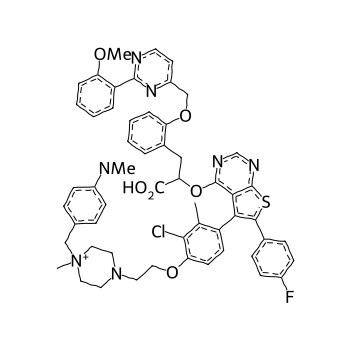 CNc1ccc(C[N+]2(C)CCN(CCOc3ccc(-c4c(-c5ccc(F)cc5)sc5ncnc(OC(Cc6ccccc6OCc6ccnc(-c7ccccc7OC)n6)C(=O)O)c45)c(C)c3Cl)CC2)cc1